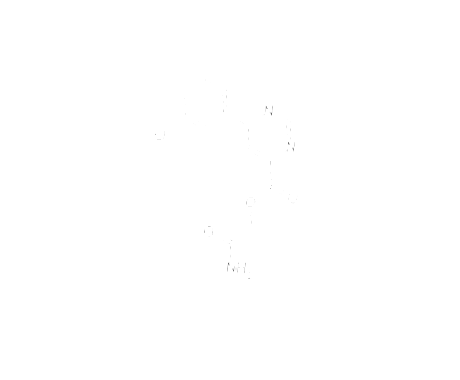 NC(=O)COC(=O)c1cc(-c2cccc(Cl)c2)ncn1